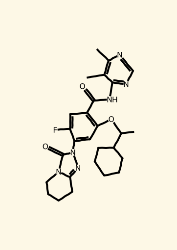 Cc1ncnc(NC(=O)c2cc(F)c(-n3nc4n(c3=O)CCCC4)cc2OC(C)C2CCCCC2)c1C